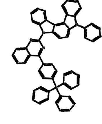 c1ccc(-n2c3ccccc3c3c4c5ccccc5n(-c5nc(-c6ccc([Si](c7ccccc7)(c7ccccc7)c7ccccc7)cc6)c6ccccc6n5)c4ccc32)cc1